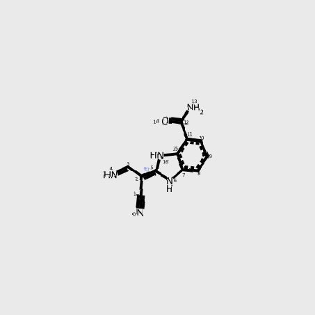 N#C/C(C=N)=C1\Nc2cccc(C(N)=O)c2N1